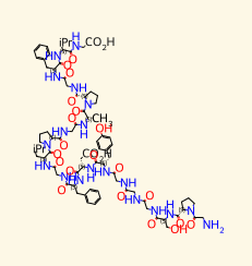 CC(C)C[C@H](NC(=O)CNC(=O)[C@H](Cc1ccccc1)NC(=O)[C@H](CC(=O)O)NC(=O)[C@H](Cc1ccc(O)cc1)NC(=O)CNC(=O)CNC(=O)CNC(=O)[C@H](CO)NC(=O)[C@@H]1CCCN1C(=O)CN)C(=O)N1CCC[C@H]1C(=O)NCC(=O)N[C@@H](C)C(=O)N1CCC[C@H]1C(=O)NCC(=O)N[C@@H](Cc1ccccc1)C(=O)N[C@H](C(=O)NCC(=O)O)C(C)C